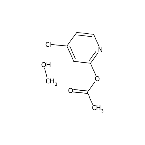 CC(=O)Oc1cc(Cl)ccn1.CO